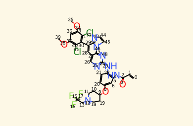 C=CC(=O)Nc1cc(OC2CCN(CC(F)(F)F)CC2)ccc1Nc1ncc2cc(-c3c(Cl)c(OC)cc(OC)c3Cl)c3nccn3c2n1